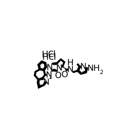 Cc1nc(N)ccc1CNC(=O)[C@@H]1CCc2cnc(N(C)C3c4ccccc4CCc4cccnc43)c(=O)n21.Cl.Cl